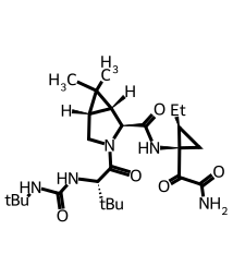 CC[C@H]1C[C@]1(NC(=O)[C@@H]1[C@@H]2[C@H](CN1C(=O)[C@@H](NC(=O)NC(C)(C)C)C(C)(C)C)C2(C)C)C(=O)C(N)=O